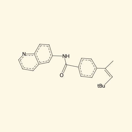 C/C(=C/C(C)(C)C)c1ccc(C(=O)Nc2ccc3ncccc3c2)cc1